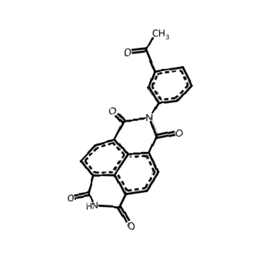 CC(=O)c1cccc(N2C(=O)c3ccc4c5c(ccc(c35)C2=O)C(=O)NC4=O)c1